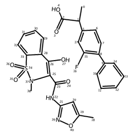 CC(C(=O)O)c1ccc(-c2ccccc2)c(F)c1.Cc1cc(NC(=O)C2=C(O)c3ccccc3S(=O)(=O)N2C)no1